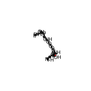 COc1cnc(C(=O)NCc2cccc(CC(=O)NCCOCCOCCOCCOCCOCC(=O)N[C@H](C(=O)N3C[C@H](O)C[C@H]3C(=O)NCc3ccc(-c4scnc4C)cc3)C(C)(C)C)c2)cc1/C=C/[C@H]1CC[C@H](C(F)(F)F)CC1